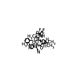 Cn1ncc(C(C#N)NC(=O)[C@@H]2[C@@H]3[C@H](CN2C(=O)C(NC(=O)C(F)(F)F)C(C)(C)C)C3(C)C)c1OCc1ccccc1